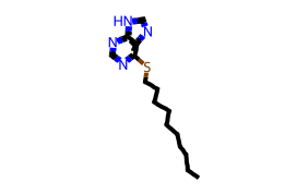 CCCCCCCCCCSc1ncnc2[nH]cnc12